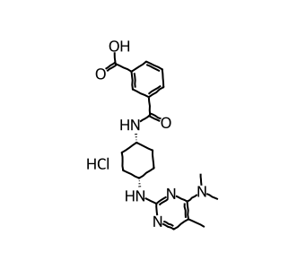 Cc1cnc(N[C@H]2CC[C@@H](NC(=O)c3cccc(C(=O)O)c3)CC2)nc1N(C)C.Cl